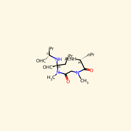 CCC[C@@H](NC(C)=O)C(=O)N(C)CC(=O)N(C)[C@@](C=O)(CC(C)C)N[C@H](C=O)C(C)C